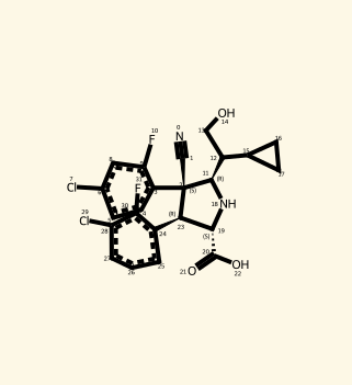 N#C[C@@]1(c2ccc(Cl)cc2F)[C@@H](C(CO)C2CC2)N[C@H](C(=O)O)[C@H]1c1cccc(Cl)c1F